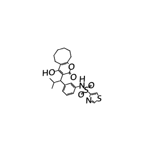 CC(C)C(c1cccc(NS(=O)(=O)c2cscn2)c1)c1c(O)c2c(oc1=O)CCCCCC2